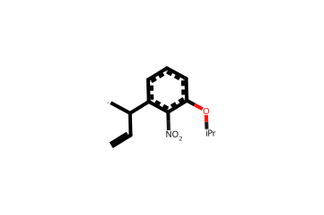 [CH2]C(C=C)c1cccc(OC(C)C)c1[N+](=O)[O-]